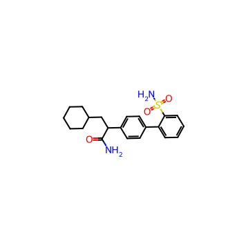 NC(=O)C(CC1CCCCC1)c1ccc(-c2ccccc2S(N)(=O)=O)cc1